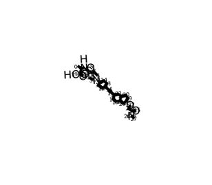 CC(NS(=O)(=O)N1CCN(c2ccc(C#Cc3ccc4cc(OCC(=O)N(C)C)ccc4c3)cc2)CC1)C(=O)O